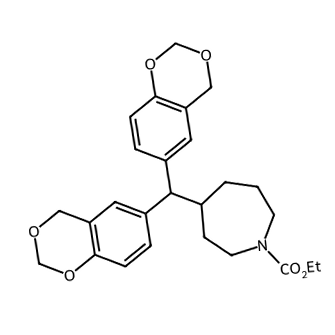 CCOC(=O)N1CCCC(C(c2ccc3c(c2)COCO3)c2ccc3c(c2)COCO3)CC1